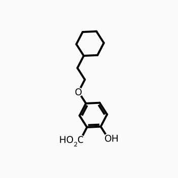 O=C(O)c1cc(OCCC2CCCCC2)ccc1O